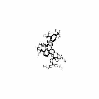 CC[C@@H]1C[C@H](N(Cc2cc(C(F)(F)F)cc(C(F)(F)F)c2)C(N)=NO)c2nc(C(F)(F)F)ccc2N1C(=O)OC(C)C